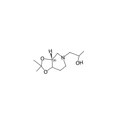 CC(O)CN1CCC2OC(C)(C)O[C@@H]2C1